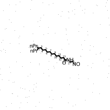 CCCC(CCC)CCCCCCCCCCCC(=O)NCCN=O